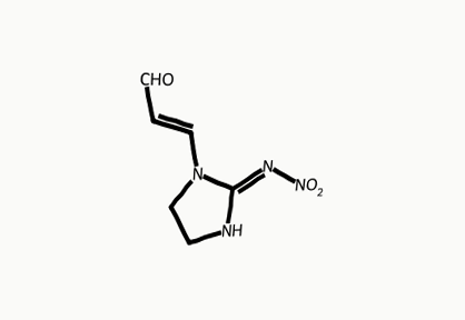 O=CC=CN1CCNC1=N[N+](=O)[O-]